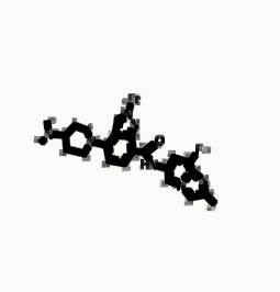 CCn1cc2c(N3CCC(N(C)C)CC3)ccc(C(=O)Nc3cc(F)c4nc(C)cn4c3)c2n1